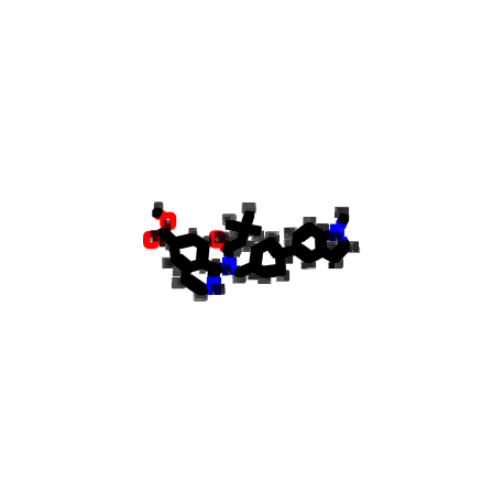 COC(=O)c1ccc2c(N(Cc3ccc(-c4ccc5c(ccn5C)c4)cc3)C(=O)CC(C)(C)C)nccc2c1